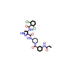 C=CC(=O)Nc1cccc(C(=O)N2CCCC(NC(=O)c3n[nH]cc3NC(=O)c3c(Cl)cccc3Cl)C2)c1